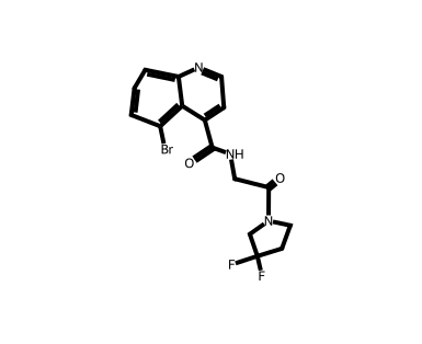 O=C(NCC(=O)N1CCC(F)(F)C1)c1ccnc2cccc(Br)c12